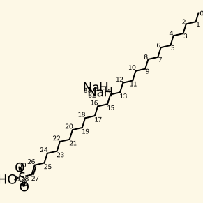 CCCCCCCCCCCCCCCCCCCCCCCCCCC=CS(=O)(=O)O.[NaH].[NaH]